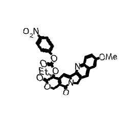 CC[C@@]1(OC(=O)Oc2ccc([N+](=O)[O-])cc2)C(=O)OCc2c1cc1n(c2=O)Cc2cc3cc(OC)ccc3nc2-1